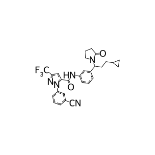 N#Cc1cccc(-n2nc(C(F)(F)F)cc2C(=O)Nc2cccc(C(CCC3CC3)N3CCCC3=O)c2)c1